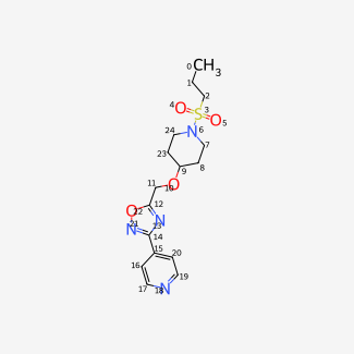 CCCS(=O)(=O)N1CCC(OCc2nc(-c3ccncc3)no2)CC1